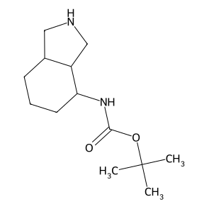 CC(C)(C)OC(=O)NC1CCCC2CNCC21